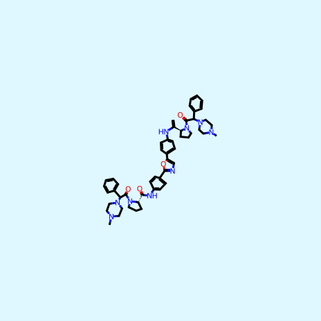 C=C(Nc1ccc(-c2cnc(-c3ccc(NC(=O)[C@@H]4CCCN4C(=O)C(c4ccccc4)N4CCN(C)CC4)cc3)o2)cc1)[C@@H]1CCCN1C(=O)C(c1ccccc1)N1CCN(C)CC1